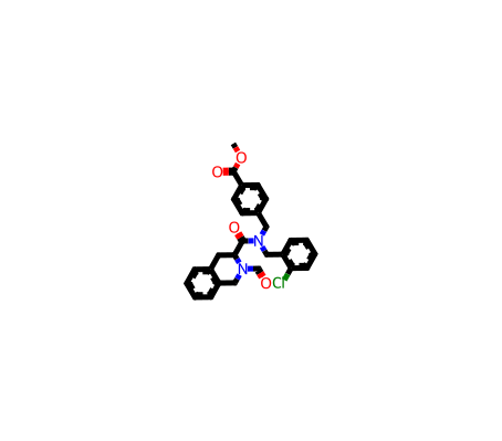 COC(=O)c1ccc(CN(Cc2ccccc2Cl)C(=O)C2Cc3ccccc3CN2C=O)cc1